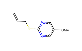 C=CCSc1ncc(OC)cn1